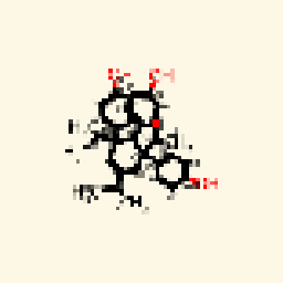 CC(C)C1=CC(c2ccc(O)cc2)(C(C)C)C(c2ccc(O)cc2)C(c2ccc(O)cc2)(C(C)C)C1